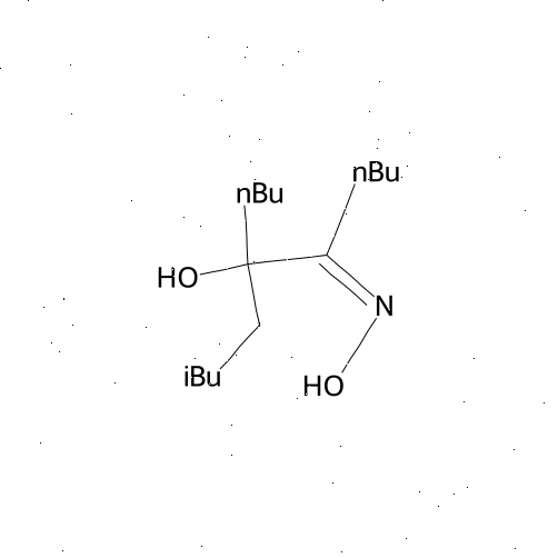 CCCCC(=NO)C(O)(CCCC)CC(C)CC